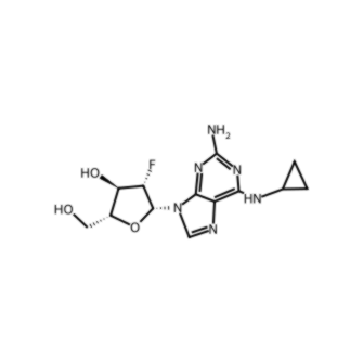 Nc1nc(NC2CC2)c2ncn([C@@H]3O[C@H](CO)[C@@H](O)[C@@H]3F)c2n1